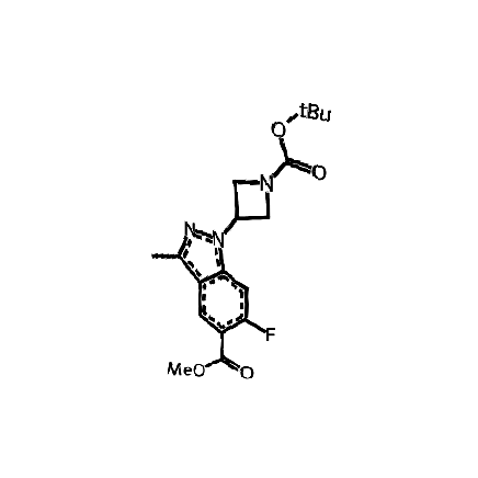 COC(=O)c1cc2c(C)nn(C3CN(C(=O)OC(C)(C)C)C3)c2cc1F